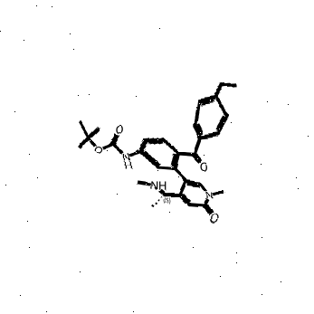 CCc1ccc(C(=O)c2ccc(NC(=O)OC(C)(C)C)cc2-c2cn(C)c(=O)cc2[C@H](C)NC)cc1